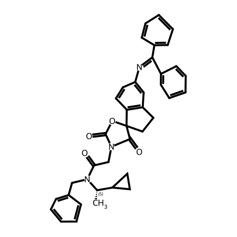 C[C@@H](C1CC1)N(Cc1ccccc1)C(=O)CN1C(=O)OC2(CCc3cc(N=C(c4ccccc4)c4ccccc4)ccc32)C1=O